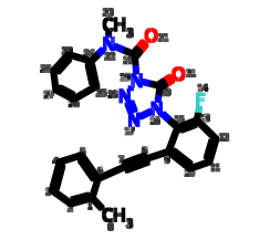 Cc1ccccc1C#Cc1cccc(F)c1-n1nnn(C(=O)N(C)c2ccccc2)c1=O